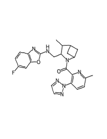 Cc1ccc(-n2nccn2)c(C(=O)N2C3CC(C3)C(C)C2CNc2nc3ccc(F)cc3o2)n1